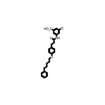 O=C(CCc1ccc(OCCCCCc2ccccc2)cc1)Nc1cc(Cl)cc(C(=O)O)c1